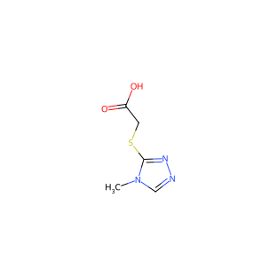 Cn1cnnc1SCC(=O)O